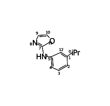 CC(C)c1cccc(Nc2ncco2)c1